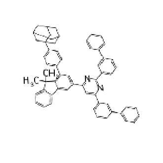 CC1(C)c2ccccc2-c2cc(-c3cc(-c4cccc(-c5ccccc5)c4)nc(-c4cccc(-c5ccccc5)c4)n3)cc(-c3ccc(C45CC6CC(CC(C6)C4)C5)cc3)c21